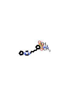 CNS(=O)(=O)c1cc(CCCCCN2CCN(c3ccccc3)CC2)ccc1[S+](C)[O-]